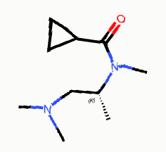 C[C@H](CN(C)C)N(C)C(=O)C1CC1